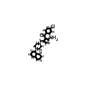 Nc1scc(CN2CCN(c3cccc4ccccc34)CC2)c1C(=O)c1ccc(Cl)cc1